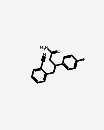 N#Cc1ccccc1CC(CC(N)=O)c1ccc(F)cc1